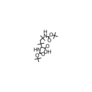 CC(C)(CC(C)(C)C(NC(=O)OC(C)(C)C)C(=O)O)NC(=O)OC(C)(C)C